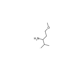 [CH2]C(C)C(N)CCOC